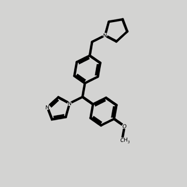 COc1ccc(C(c2ccc(CN3CCCC3)cc2)n2ccnc2)cc1